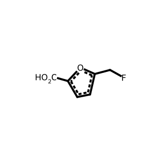 O=C(O)c1ccc(CF)o1